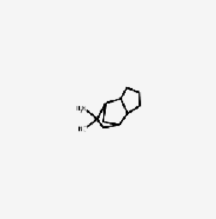 N#CC1(N)CC2CC1C1CCCC21